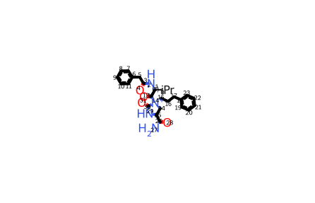 CC(C)[C@H](NC(=O)Cc1ccccc1)C(=O)[N+]1(CCCc2ccccc2)CC(C(N)=O)NC1=O